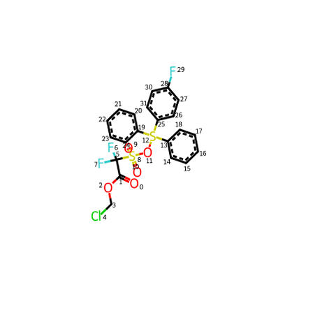 O=C(OCCl)C(F)(F)S(=O)(=O)OS(c1ccccc1)(c1ccccc1)c1ccc(F)cc1